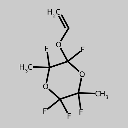 C=COC1(F)OC(C)(F)C(F)(F)OC1(C)F